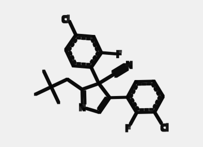 CC(C)(C)CC1=NC=C(c2cccc(Cl)c2F)C1(C#N)c1ccc(Cl)cc1F